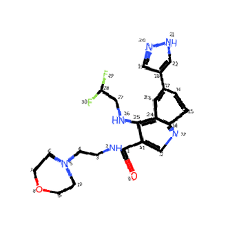 O=C(NCCN1CCOCC1)c1cnc2ccc(-c3cn[nH]c3)cc2c1NCC(F)F